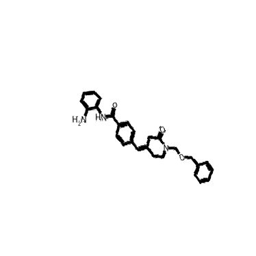 Nc1ccccc1NC(=O)c1ccc(/C=C2/CCN(COCc3ccccc3)C(=O)C2)cc1